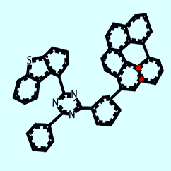 c1ccc(-c2nc(-c3cccc(-c4cccc5c4ccc4ccc6cccc(-c7ccccc7)c6c45)c3)nc(-c3cccc4sc5ccccc5c34)n2)cc1